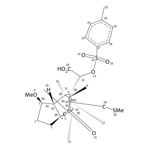 CO[C@@H]1CC[C@@]23CC[C@@H](C)[C@](C)([C@H](C(OS(=O)(=O)c4ccc(C)cc4)C(=O)O)C[C@@](C)(CSC)C(=O)[C@@H]2C)[C@@H]13